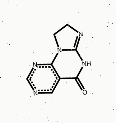 O=C1NC2=NCCN2c2ncncc21